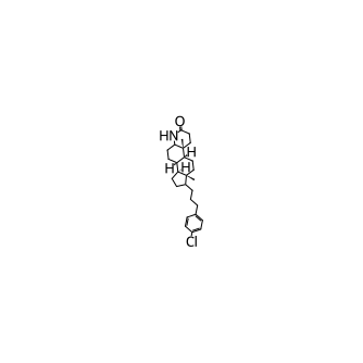 C[C@]12CCC(=O)NC1CC[C@@H]1[C@H]2CC[C@]2(C)C(CCCc3ccc(Cl)cc3)CC[C@@H]12